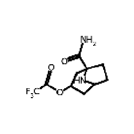 NC(=O)C12CCC(CC(OC(=O)C(F)(F)F)C1)N2